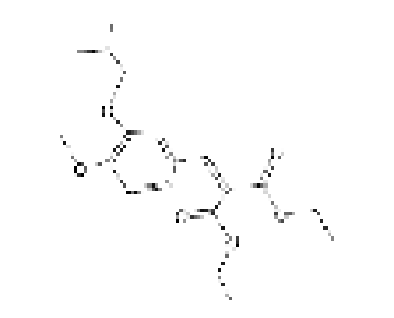 CCOC(=O)C(=Cc1ccc(OC)c(OCC(C)C)c1)C(=O)OCC